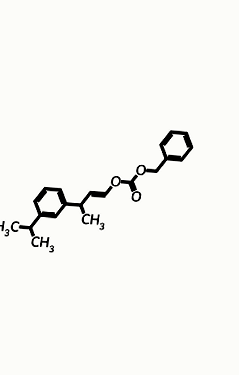 CC(C)c1cccc(C(C)C=COC(=O)OCc2ccccc2)c1